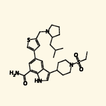 CCS(=O)(=O)N1CCC(c2c[nH]c3c(C(N)=O)cc(-c4csc(CN5CCCC5CC(C)C)c4)cc23)CC1